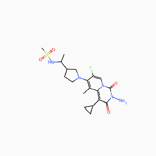 Cc1c(N2CCC(C(C)NS(C)(=O)=O)C2)c(F)cn2c(=O)n(N)c(=O)c(C3CC3)c12